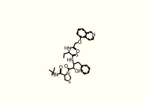 CCC(NC(=O)COc1cccc2cnccc12)C(=S)NC(Cc1ccccc1)C(O)C(=O)N1CSCC1C(=O)NC(C)(C)C